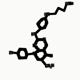 CCc1ccc(-n2cc(C(=O)O)c(=O)c3cnc(Nc4ccc(NCCCOC)cc4)nc32)cc1